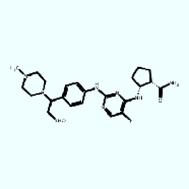 CN1CCN(C(CC=O)c2ccc(Nc3ncc(F)c(N[C@@H]4CCC[C@@H]4C(N)=O)n3)cc2)CC1